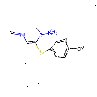 C=N/C=C(/Sc1ccc(C#N)cc1)N(C)N